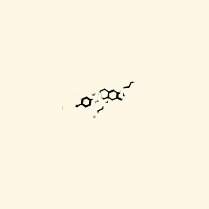 CCCCn1ncc2c1C=C1CCN(S(=O)(=O)c3ccc(C(C)(C)C)cc3)C[C@@]1(COCCOC)C2